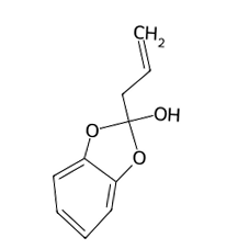 C=CCC1(O)Oc2ccccc2O1